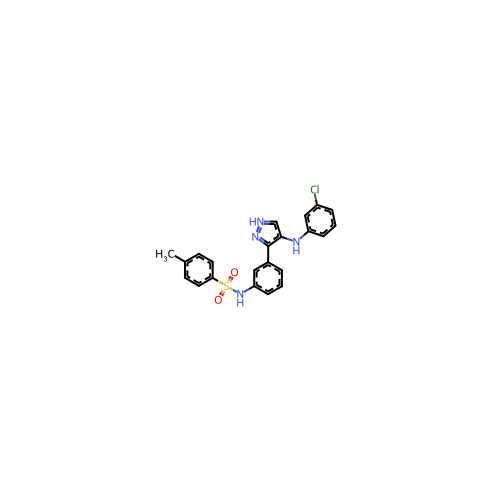 Cc1ccc(S(=O)(=O)Nc2cccc(-c3n[nH]cc3Nc3cccc(Cl)c3)c2)cc1